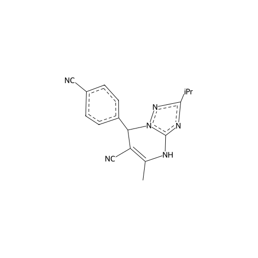 CC1=C(C#N)C(c2ccc(C#N)cc2)n2nc(C(C)C)nc2N1